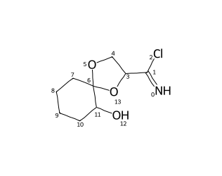 N=C(Cl)C1COC2(CCCCC2O)O1